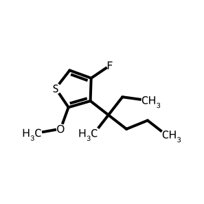 CCCC(C)(CC)c1c(F)csc1OC